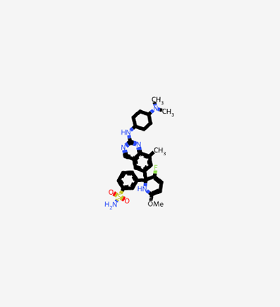 COC1=CC=C(F)C(c2cccc(S(N)(=O)=O)c2)(c2cc(C)c3nc(NC4CCC(N(C)C)CC4)ncc3c2)N1